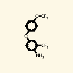 Nc1ccc(Oc2ccc(OC(F)(F)F)cc2)cc1C(F)(F)F